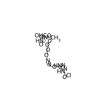 Cc1ccc(OCCOCCOCCN2CCN(Cc3ccc(-c4cc5c(NCc6ccccc6Cl)ncnc5[nH]4)cc3)CC2)cc1C(=O)N(C=O)C1CCC(=O)NC1=O